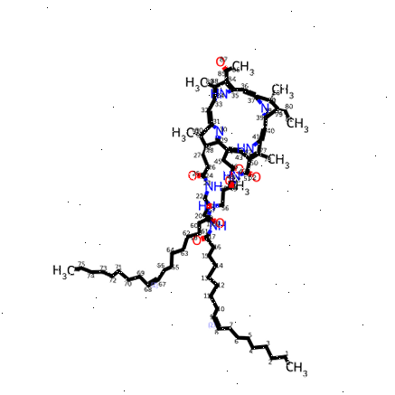 CCCCCCCC/C=C\CCCCCCCC(=O)NCCCNC(=O)CC[C@@H]1c2nc(cc3[nH]c(cc4nc(cc5[nH]c(c2CC(=O)OC)c(C(=O)NCCCNC(=O)CCCCCCC/C=C\CCCCCCCC)c5C)[C@H](CC)[C@H]4C)c(C(C)=O)c3C)[C@H]1C